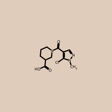 Cn1ncc(C(=O)N2CCCC(C(=O)O)C2)c1Cl